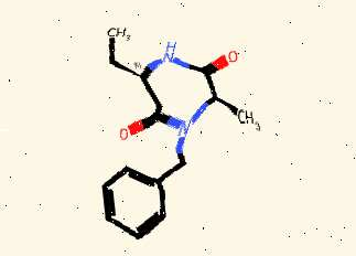 CC[C@H]1NC(=O)C(C)N(Cc2ccccc2)C1=O